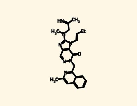 CC/C=C/n1c(N(C)CC(C)=N)nc2cnn(Cc3nc(C)cc4ccccc34)c(=O)c21